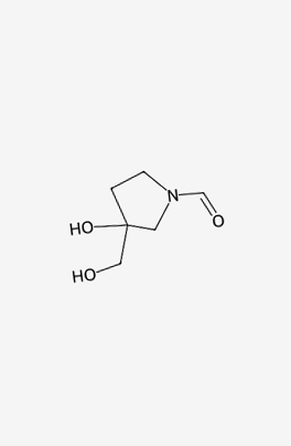 O=CN1CCC(O)(CO)C1